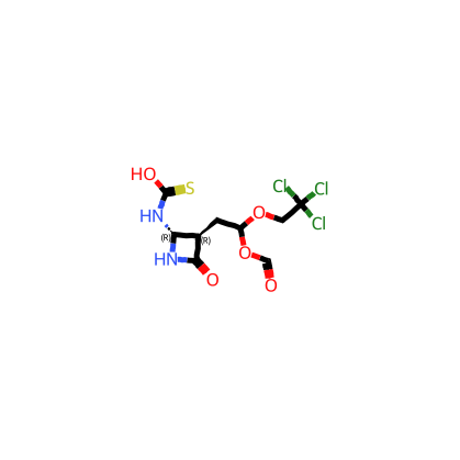 O=COC(C[C@H]1C(=O)N[C@@H]1NC(O)=S)OCC(Cl)(Cl)Cl